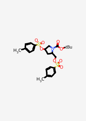 Cc1ccc(S(=O)(=O)OCC2CC(OS(=O)(=O)c3ccc(C)cc3)CN2C(=O)OC(C)(C)C)cc1